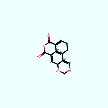 O=C1OC(=O)C2=CC3OCOC=C3C3=C2C1=CCC3